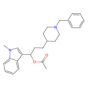 CC(=O)OC(CCC1CCN(Cc2ccccc2)CC1)c1cn(C)c2ccccc12